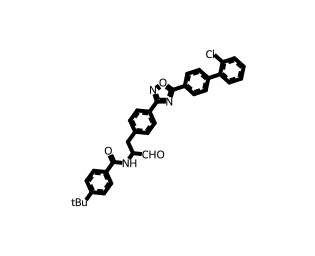 CC(C)(C)c1ccc(C(=O)NC(C=O)Cc2ccc(-c3noc(-c4ccc(-c5ccccc5Cl)cc4)n3)cc2)cc1